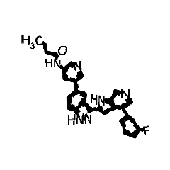 CCCC(=O)Nc1cncc(-c2ccc3[nH]nc(-c4cc5c(-c6cccc(F)c6)cncc5[nH]4)c3c2)c1